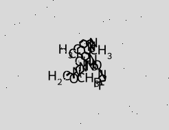 C=CC(=O)N1C[C@H](C)N(c2nc(OCCN3CCC(F)(F)C3)nc3c(F)c(-c4c(C)ccc5cnn(C)c45)c(Cl)cc23)C[C@H]1C